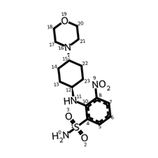 NS(=O)(=O)c1cccc([N+](=O)[O-])c1N[C@H]1CC[C@H](N2CCOCC2)CC1